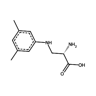 Cc1cc(C)cc(NC[C@H](N)C(=O)O)c1